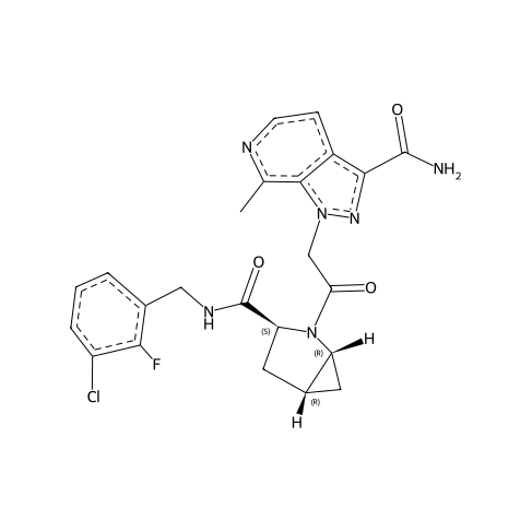 Cc1nccc2c(C(N)=O)nn(CC(=O)N3[C@@H]4C[C@@H]4C[C@H]3C(=O)NCc3cccc(Cl)c3F)c12